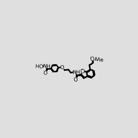 COCCc1cccc2cc(C(=O)NCCCOc3ccc(C(=O)NO)cc3)oc12